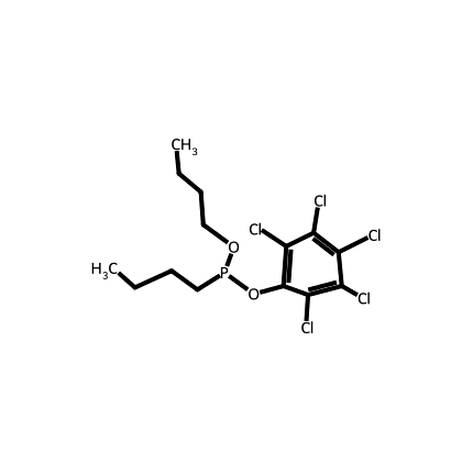 CCCCOP(CCCC)Oc1c(Cl)c(Cl)c(Cl)c(Cl)c1Cl